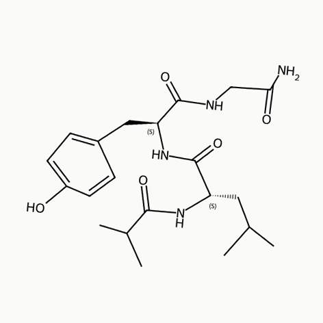 CC(C)C[C@H](NC(=O)C(C)C)C(=O)N[C@@H](Cc1ccc(O)cc1)C(=O)NCC(N)=O